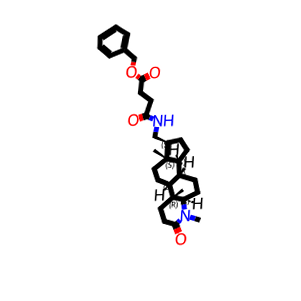 CN1C(=O)CC[C@]2(C)[C@H]3CC[C@]4(C)[C@@H](CNC(=O)CCC(=O)OCc5ccccc5)CC[C@H]4[C@@H]3CC[C@@H]12